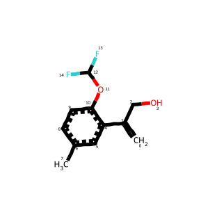 C=C(CO)c1cc(C)ccc1OC(F)F